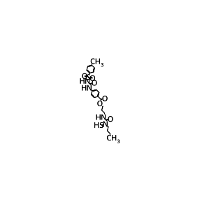 CCCCN(S)C(=O)NCCCOC(=O)c1ccc(NC(=O)NS(=O)(=O)c2ccc(C)cc2)cc1